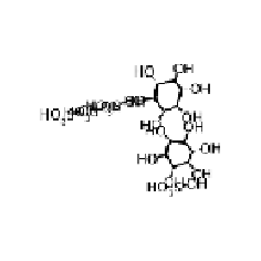 O=S(=O)(O)O.O=S(=O)(O)O.O=S(=O)(O)O.O=S(=O)(O)O.O[C@H]1[C@H](O)[C@@H](O)[C@H](O)[C@@H](O)[C@H]1O.O[C@H]1[C@H](O)[C@@H](O)[C@H](O)[C@@H](O)[C@H]1O